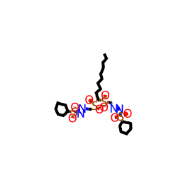 CCCCCCCCCC(S(=O)(=O)CN=NS(=O)(=O)C1CCCCC1)S(=O)(=O)CN=NS(=O)(=O)C1CCCCC1